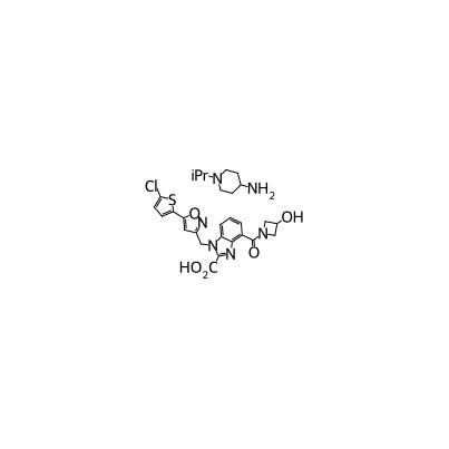 CC(C)N1CCC(N)CC1.O=C(O)c1nc2c(C(=O)N3CC(O)C3)cccc2n1Cc1cc(-c2ccc(Cl)s2)on1